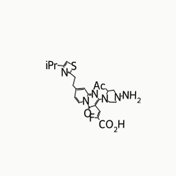 CC(=O)C1CN(N)CCN1c1nc2cc(CCc3nc(C(C)C)cs3)ccn2c(=O)c1C=C(F)C(=O)O